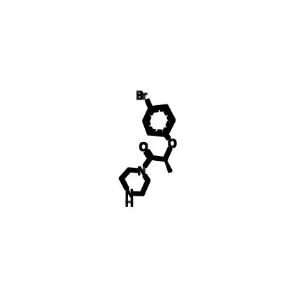 C[C@H](Oc1ccc(Br)cc1)C(=O)N1CCNCC1